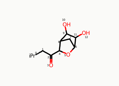 CC(C)CC(=O)C1OC2CC1C(O)C2O